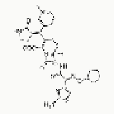 C[n+]1cccc(C(=C2CCNC2=O)C2=C(C(=O)[O-])N3C(=O)[C@@H](NC(=O)C(=NOC4CCCC4)c4csc(N)n4)[C@H]3SC2)c1